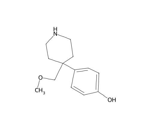 COCC1(c2ccc(O)cc2)CCNCC1